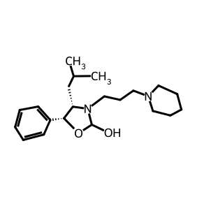 CC(C)C[C@H]1[C@@H](c2ccccc2)OC(O)N1CCCN1CCCCC1